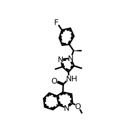 COc1cc(C(=O)Nc2c(C)nn([C@H](C)c3ccc(F)cc3)c2C)c2ccccc2n1